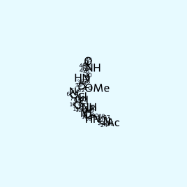 COc1cc(-c2nccc(-c3cccc(Nc4nccc(CNC5CCN(C(C)=O)CC5)c4F)c3Cl)c2Cl)ccc1CNC[C@@H]1CCC(=O)N1